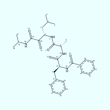 CC(C)C[C@H](NC(=O)[C@H](C)NC(=O)[C@H](Cc1ccccc1)NC(=O)c1ccccc1)C(=O)C(=O)NC(C)C